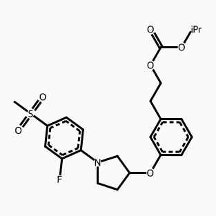 CC(C)OC(=O)OCCc1cccc(OC2CCN(c3ccc(S(C)(=O)=O)cc3F)C2)c1